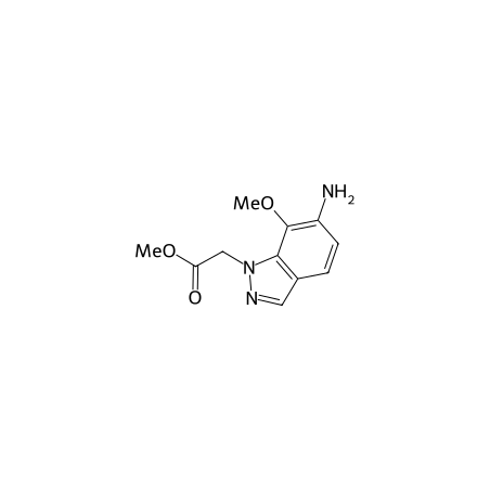 COC(=O)Cn1ncc2ccc(N)c(OC)c21